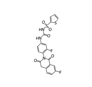 O=C(Nc1ccc(N2C(=O)Cc3ccc(F)cc3C2=O)c(F)c1)NS(=O)(=O)c1cccs1